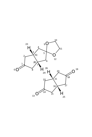 O=C1C[C@@H]2CC3(C[C@@H]2C1)OCCO3.O=C1C[C@H]2CC(=O)C[C@H]2C1